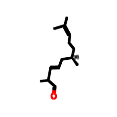 CC(C)=CCC[C@@H](C)CC=CC(C)C=O